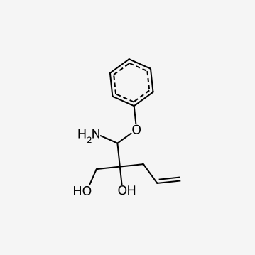 C=CCC(O)(CO)C(N)Oc1ccccc1